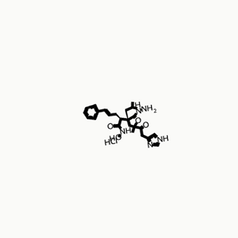 CC(C)C[C@](CC(C)(C)C(=O)Cc1c[nH]cn1)(C(=O)NN)[C@H](C/C=C/c1ccccc1)C(=O)NO.Cl